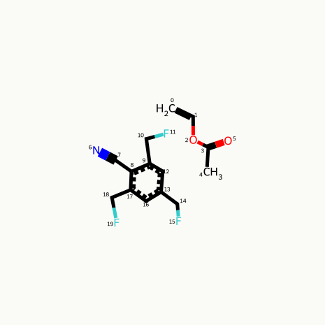 C=COC(C)=O.N#Cc1c(CF)cc(CF)cc1CF